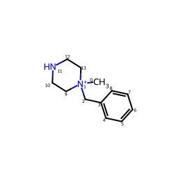 C[N+]1(Cc2ccccc2)CCNCC1